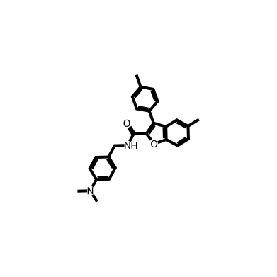 Cc1ccc(-c2c(C(=O)NCc3ccc(N(C)C)cc3)oc3ccc(C)cc23)cc1